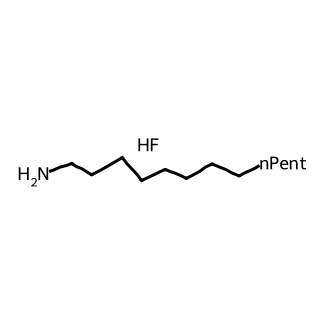 CCCCCCCCCCCCCN.F